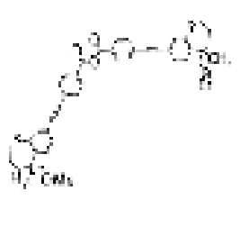 CCOCC1(C)CCCSc2cc(C#Cc3ccc(C(=O)OC(=O)c4ccc(C#Cc5ccc6c(c5)SCCCC6(C)COC)cc4)cc3)ccc21